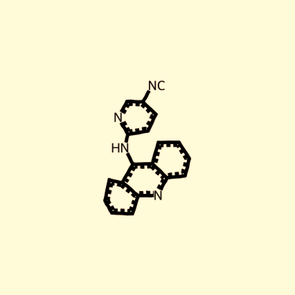 [C-]#[N+]c1ccc(Nc2c3ccccc3nc3ccccc23)nc1